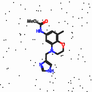 COC(=O)Nc1cc(C)c2c(c1)N(Cc1c[nH]cn1)CCO2